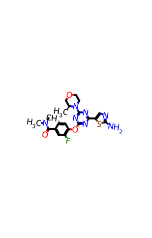 C[C@H]1COCCN1c1nc(Oc2ccc(C(=O)N(C)C)cc2F)nc(-c2cnc(N)s2)n1